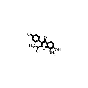 CC(C)c1oc2c(N)c(O)ccc2c(=O)c1-c1ccc(Cl)cc1